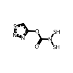 O=C(Oc1csnn1)N(S)S